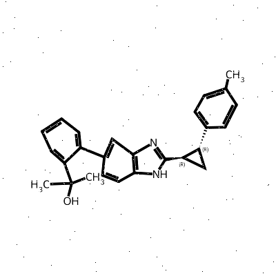 Cc1ccc([C@@H]2C[C@H]2c2nc3cc(-c4ccccc4C(C)(C)O)ccc3[nH]2)cc1